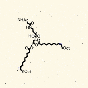 CCCCCCCC/C=C\CCCCCCCC(=O)OC[C@H](COP(=O)(O)OCCNC(=O)CNC(C)=O)OC(=O)CCCCCCC/C=C\CCCCCCCC